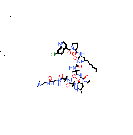 CCCCCCCCC(NC(=O)C1CCCN1C(=O)c1ccnc2cc(Cl)ccc12)C(=O)NCC(=O)NC(C)(C)C(=O)NCC(=O)N(C(C)C)C(CC(C)C)C(=O)NC(C)(C)C(=O)NC(C)(C)C(=O)NCCC(=O)NCCN(C)C